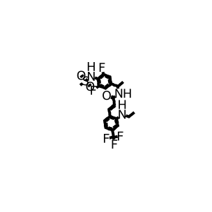 CCNc1cc(C(F)(F)F)ccc1C=CC(=O)NC(C)c1cc(F)c(NS(C)(=O)=O)c(F)c1